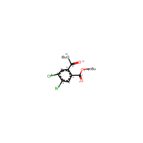 CCCCOC(=O)c1cc(Br)c(Cl)cc1C(=O)OCC(C)C